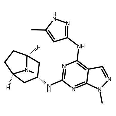 Cc1cc(Nc2nc(N[C@@H]3C[C@H]4CC[C@@H](C3)N4C)nc3c2cnn3C)n[nH]1